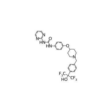 O=C(Nc1ccc(OC2CCN(Cc3ccc(C(O)(C(F)(F)F)C(F)(F)F)cc3)CC2)cc1)Nc1ncccn1